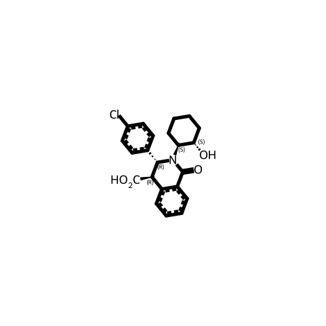 O=C(O)[C@@H]1c2ccccc2C(=O)N([C@H]2CCCC[C@@H]2O)[C@H]1c1ccc(Cl)cc1